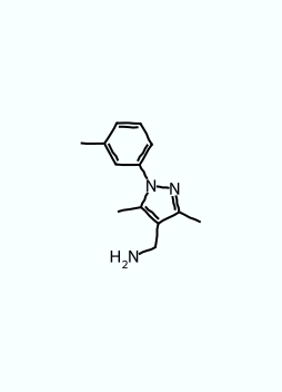 Cc1cccc(-n2nc(C)c(CN)c2C)c1